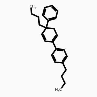 CCCCc1ccc(C2=CCC(CCCC)(c3ccccc3)C=C2)cc1